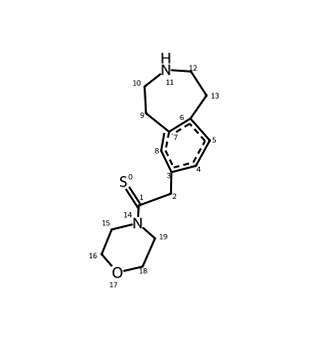 S=C(Cc1ccc2c(c1)CCNCC2)N1CCOCC1